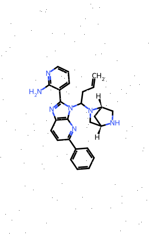 C=CCC(N1C[C@@H]2C[C@H]1CN2)n1c(-c2cccnc2N)nc2ccc(-c3ccccc3)nc21